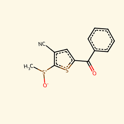 C[S+]([O-])c1sc(C(=O)c2ccccc2)cc1C#N